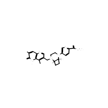 CCc1cc2ncc(CN3CCN(c4ccc(C(=O)NC)nc4)[C@@H]4CC[C@@H]43)c(C)c2[nH]c1=O